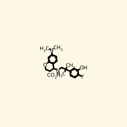 CN(C)c1ccc2c(c1)OCCC2N(CC(C)(C)c1ccc(F)c(O)c1)C(=O)O